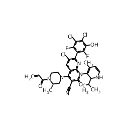 C=CC(=O)N1CCN(c2c(C#N)c(=O)n(C3=C(C)C=CNC3C(C)C)c3nc(-c4c(F)c(O)c(Cl)c(Cl)c4F)c(Cl)cc23)C[C@H]1C